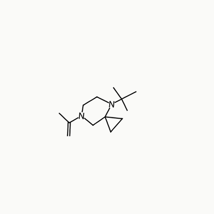 C=C(C)N1CCN(C(C)(C)C)C2(CC2)C1